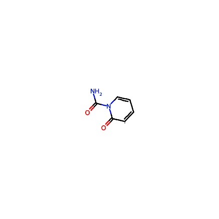 NC(=O)n1ccc[c]c1=O